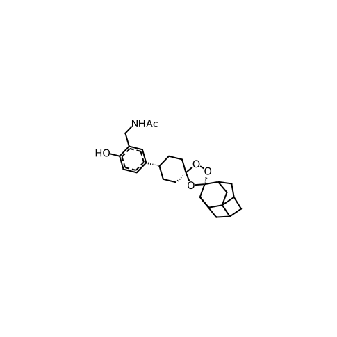 CC(=O)NCc1cc([C@H]2CC[C@]3(CC2)OO[C@]2(O3)C3CC4CC5CC2CC45C3)ccc1O